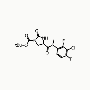 CN(C(=O)C1CN(C(=O)OC(C)(C)C)C(=O)N1)c1ccc(F)c(Cl)c1F